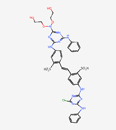 O=S(=O)(O)c1cc(Nc2nc(Cl)nc(Nc3ccccc3)n2)ccc1C=Cc1ccc(Nc2nc(Nc3ccccc3)nc(N(OCCO)OCCO)n2)cc1S(=O)(=O)O